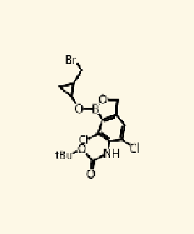 CC(C)(C)OC(=O)Nc1c(Cl)cc2c(c1Cl)B(OC1CC1CBr)OC2